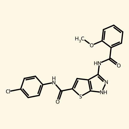 COc1ccccc1C(=O)Nc1n[nH]c2sc(C(=O)Nc3ccc(Cl)cc3)cc12